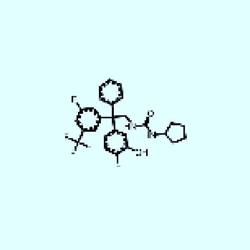 O=C(NCC(c1ccccc1)(c1cc(F)cc(C(F)(F)F)c1)c1ccc(F)c(O)c1)NC1CCCC1